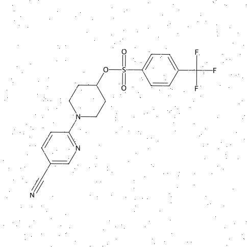 N#Cc1ccc(N2CCC(OS(=O)(=O)c3ccc(C(F)(F)F)cc3)CC2)nc1